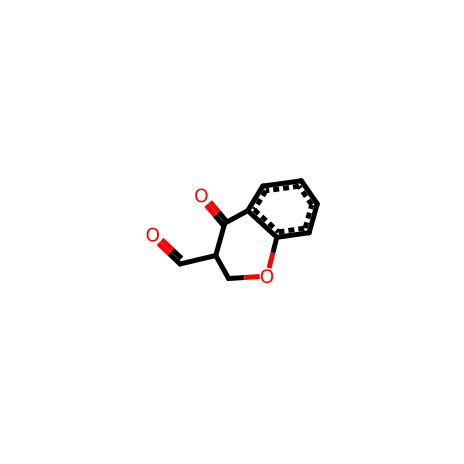 O=CC1COc2ccccc2C1=O